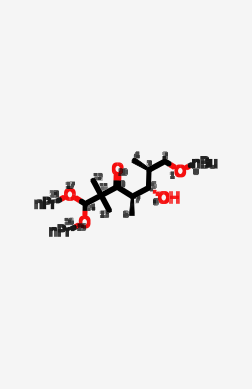 CCCCOC[C@H](C)[C@H](O)[C@@H](C)C(=O)C(C)(C)C(OCCC)OCCC